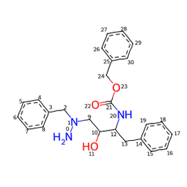 NN(Cc1ccccc1)CC(O)C(Cc1ccccc1)NC(=O)OCc1ccccc1